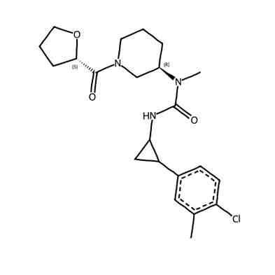 Cc1cc(C2CC2NC(=O)N(C)[C@@H]2CCCN(C(=O)[C@@H]3CCCO3)C2)ccc1Cl